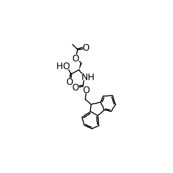 CC(=O)OC[C@@H](NC(=O)OCC1c2ccccc2-c2ccccc21)C(=O)O